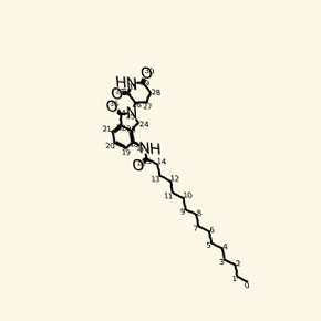 CCCCCCCCCCCCCCCC(=O)Nc1cccc2c1CN(C1CCC(=O)NC1=O)C2=O